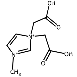 C[N+]1=C[N+](CC(=O)O)(CC(=O)O)C=C1